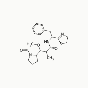 COC(C(C)C(=O)NC(Cc1ccccc1)C1=NCCS1)C1CCCN1C=O